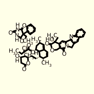 CCC(C)(C)C(=O)O[C@H]1C[C@@H](C)C=C2C=C[C@H](C)[C@H](CC[C@@H]3C[C@@H](O)CC(=O)O3)[C@H]21.CCC1(c2ccccc2)C(=O)NC(=O)NC1=O.CC[C@@]1(O)C(=O)OCc2c1cc1n(c2=O)Cc2cc3ccccc3nc2-1